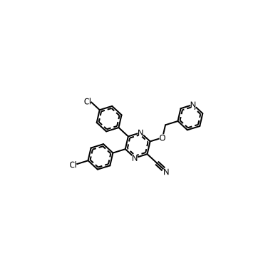 N#Cc1nc(-c2ccc(Cl)cc2)c(-c2ccc(Cl)cc2)nc1OCc1cccnc1